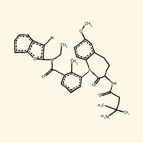 CCN(C(=O)c1cccc(N2C(=O)C(NC(=O)CC(C)(C)N)CCc3cc(OC)ccc32)c1C)c1oc2ccccc2c1Br